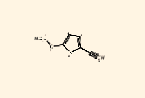 C#Cc1ccc(OC(=O)O)s1